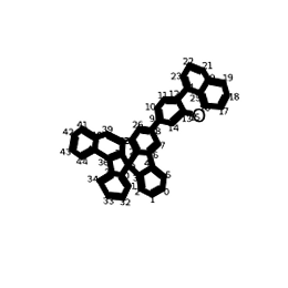 c1ccc2c(c1)-c1cc(-c3ccc4c(c3)Oc3cccc5cccc-4c35)ccc1C21c2ccccc2-c2c1ccc1ccccc21